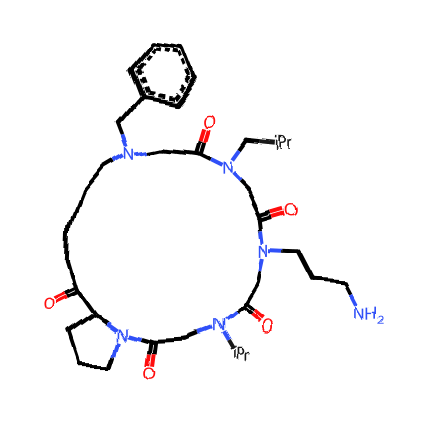 CC(C)CN1CC(=O)N(CCCN)CC(=O)N(C(C)C)CC(=O)N2CCCC2C(=O)CCCCN(Cc2ccccc2)CC1=O